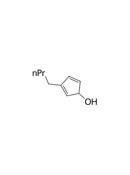 CCCCC1=CC(O)C=C1